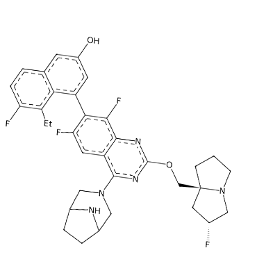 CCc1c(F)ccc2cc(O)cc(-c3c(F)cc4c(N5CC6CCC(C5)N6)nc(OC[C@@]56CCCN5C[C@H](F)C6)nc4c3F)c12